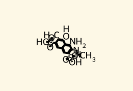 CN=Nc1c(S(=O)(=O)O)cc2cc(S(=O)(=O)O)c(C)c(O)c2c1N